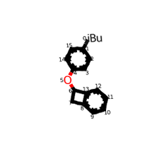 CCC(C)c1ccc(OC2Cc3ccccc32)cc1